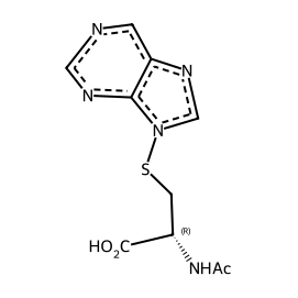 CC(=O)N[C@@H](CSn1cnc2cncnc21)C(=O)O